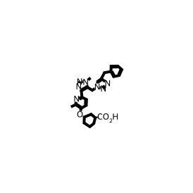 Cc1nc(-c2nnn(C)c2Cn2cc(Cc3ccccc3)nn2)ccc1O[C@H]1CCC[C@H](C(=O)O)C1